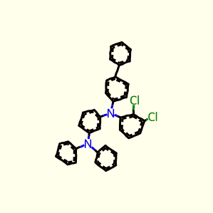 Clc1cccc(N(c2ccc(-c3ccccc3)cc2)c2cccc(N(c3ccccc3)c3ccccc3)c2)c1Cl